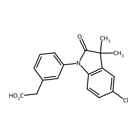 CC1(C)C(=O)N(c2cccc(CC(=O)O)c2)c2ccc(Cl)cc21